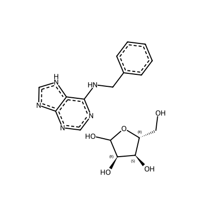 OC[C@H]1OC(O)[C@H](O)[C@@H]1O.c1ccc(CNc2ncnc3nc[nH]c23)cc1